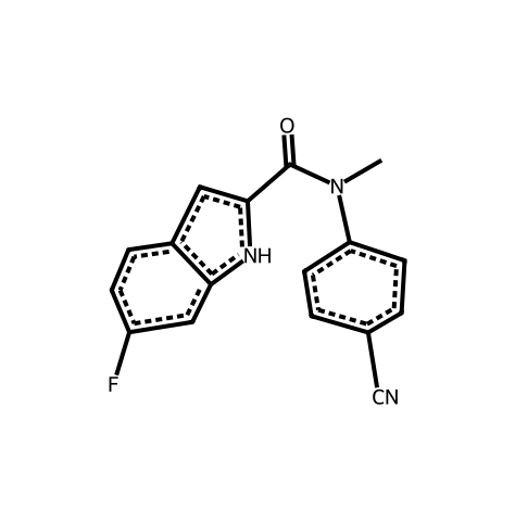 CN(C(=O)c1cc2ccc(F)cc2[nH]1)c1ccc(C#N)cc1